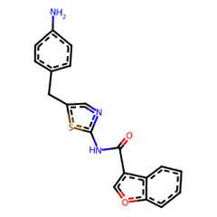 Nc1ccc(Cc2cnc(NC(=O)c3coc4ccccc34)s2)cc1